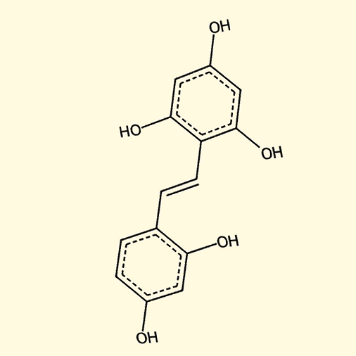 Oc1ccc(C=Cc2c(O)cc(O)cc2O)c(O)c1